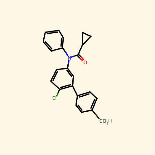 O=C(O)c1ccc(-c2cc(N(C(=O)C3CC3)c3ccccc3)ccc2Cl)cc1